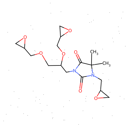 CC1(C)C(=O)N(CC(COCC2CO2)OCC2CO2)C(=O)N1CC1CO1